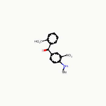 CC(C)(C)Nc1ccc(C(=O)c2ccccc2C(=O)O)cc1[N+](=O)[O-]